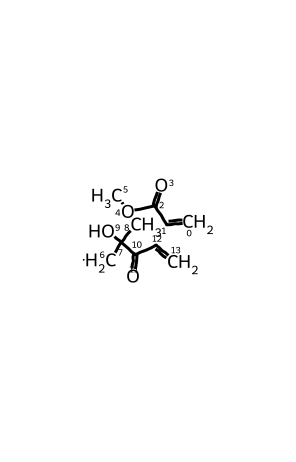 C=CC(=O)OC.[CH2]C(C)(O)C(=O)C=C